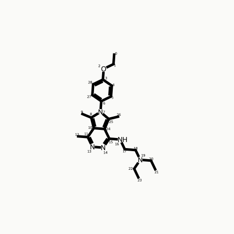 CCOc1ccc(-n2c(C)c3c(C)nnc(NCCN(CC)CC)c3c2C)cc1